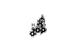 CN1CCCCC1C(=O)N1CCN(c2c(F)cncc2NC(=O)c2c(N)nn3cc(F)cnc23)CC1